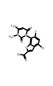 CCC(=O)c1cc2c(Cl)cc(F)c(-n3c(=O)cc(C(F)(F)F)n(C)c3=O)c2o1